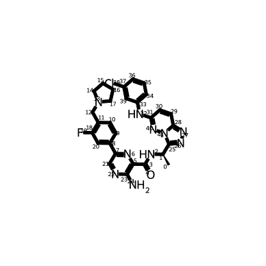 C[C@@H](NC(=O)c1nc(-c2ccc(CN3CCCC3)c(F)c2)cnc1N)c1nnc2ccc(Nc3cccc(Cl)c3)nn12